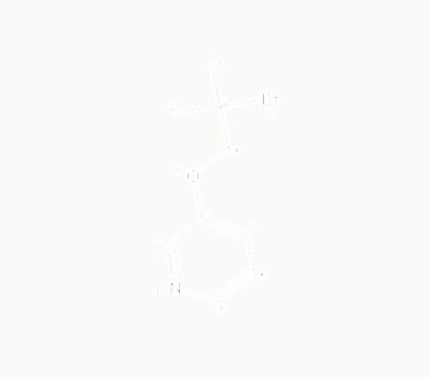 CCC(C)(C)COc1cccnc1